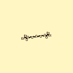 CCC(CC)C(=O)OCCOCCOCCOCCOC(=O)C(CC)CC